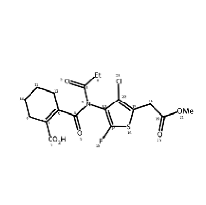 CCC(=O)N(C(=O)C1=C(C(=O)O)CCCC1)c1c(F)sc(CC(=O)OC)c1Cl